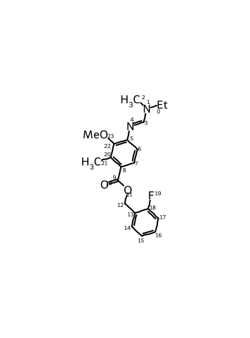 CCN(C)/C=N/c1ccc(C(=O)OCc2ccccc2F)c(C)c1OC